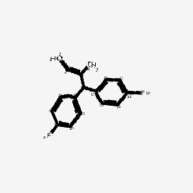 CC(=CO)C(c1ccc(F)cc1)c1ccc(F)cc1